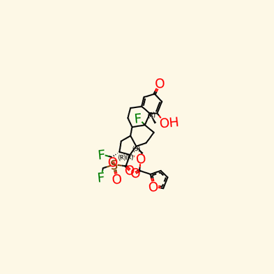 C[C@]12C(O)=CC(=O)C=C1CCC1C3C[C@@H](CF)[C@](OC(=O)c4ccco4)(C(=O)S(=O)(=O)CF)[C@@]3(C)CCC12F